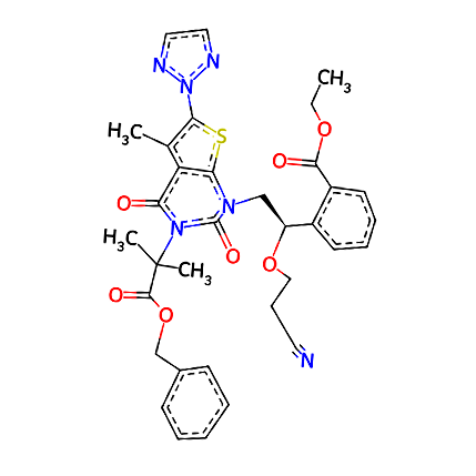 CCOC(=O)c1ccccc1[C@H](Cn1c(=O)n(C(C)(C)C(=O)OCc2ccccc2)c(=O)c2c(C)c(-n3nccn3)sc21)OCCC#N